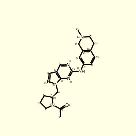 CC(=O)N1CCC[C@H]1Cn1ncc2cnc(Nc3ccc4c(c3)CN(C)CC4)nc21